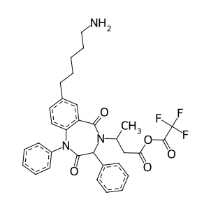 CC(CC(=O)OC(=O)C(F)(F)F)N1C(=O)c2cc(CCCCCN)ccc2N(c2ccccc2)C(=O)C1c1ccccc1